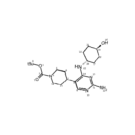 CC(C)(C)OC(=O)N1CCC(c2cnc(N)nc2N[C@H]2CC[C@H](O)CC2)CC1